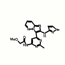 COCC(=O)Nc1cc(-c2c(Nc3ccn(C)n3)nc3cccnn23)nc(C)n1